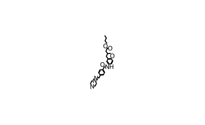 CCCCOC(=O)CC1COc2ccc(NC(=O)c3ccc(C=NN4CCN(C)CC4)cc3)cc2C1